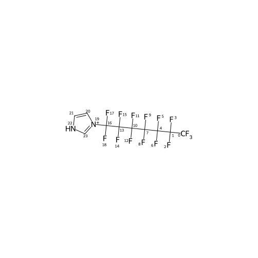 FC(F)(F)C(F)(F)C(F)(F)C(F)(F)C(F)(F)C(F)(F)C(F)(F)[n+]1cc[nH]c1